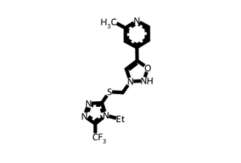 CCn1c(SCN2C=C(c3ccnc(C)c3)ON2)nnc1C(F)(F)F